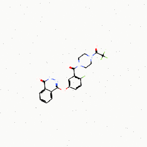 O=C(c1cc(Oc2n[nH]c(=O)c3ccccc23)ccc1F)N1CCN(C(=O)C(F)(F)F)CC1